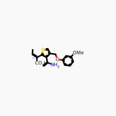 C=C(N)c1c(COc2cccc(OC)c2)csc1/C(=C\C)C(=O)O